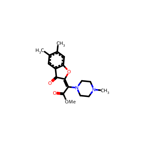 COC(=O)C(=C1Oc2cc(C)c(C)cc2C1=O)N1CCN(C)CC1